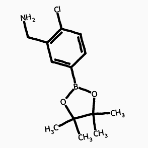 CC1(C)OB(c2ccc(Cl)c(CN)c2)OC1(C)C